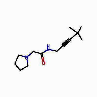 CC(C)(C)C#CCNC(=O)CN1CCCC1